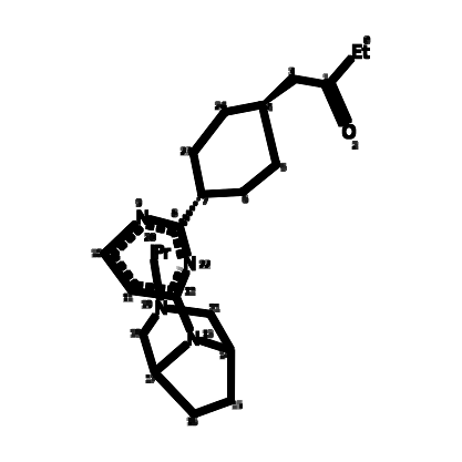 CCC(=O)C[C@H]1CC[C@H](c2nccc(N3C4CCC3CN(C(C)C)C4)n2)CC1